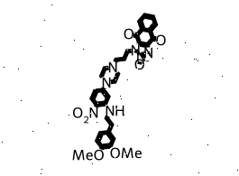 COc1ccc(CCNc2cc(N3CCN(CCCn4c5c(n[n+]4[O-])C(=O)c4ccccc4C5=O)CC3)ccc2[N+](=O)[O-])cc1OC